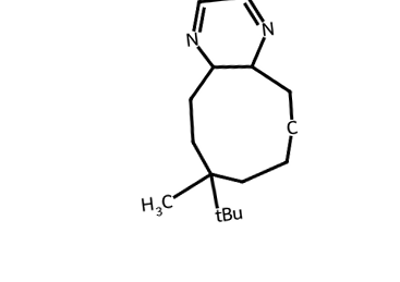 CC(C)(C)C1(C)CCCCC2N=CC=NC2CC1